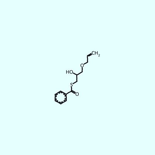 C=CCOCC(O)CSC(=O)c1ccccc1